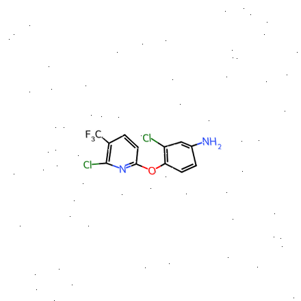 Nc1ccc(Oc2ccc(C(F)(F)F)c(Cl)n2)c(Cl)c1